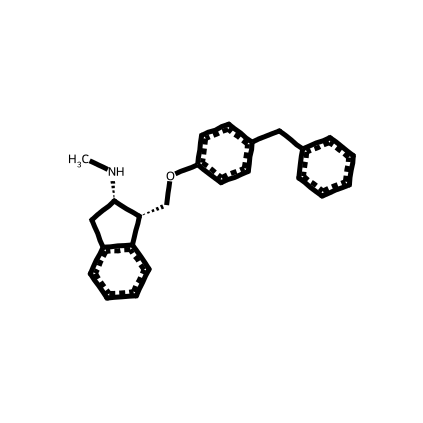 CN[C@H]1Cc2ccccc2[C@H]1COc1ccc(Cc2ccccc2)cc1